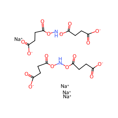 O=C([O-])CCC(=O)ONOC(=O)CCC(=O)[O-].O=C([O-])CCC(=O)ONOC(=O)CCC(=O)[O-].[Na+].[Na+].[Na+].[Na+]